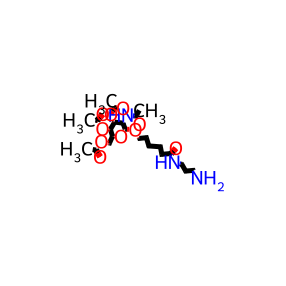 CC(=O)NC1C(OCCCCCC(=O)NCCCN)OC(COC(C)=O)C(OC(C)=O)C1OC(C)=O